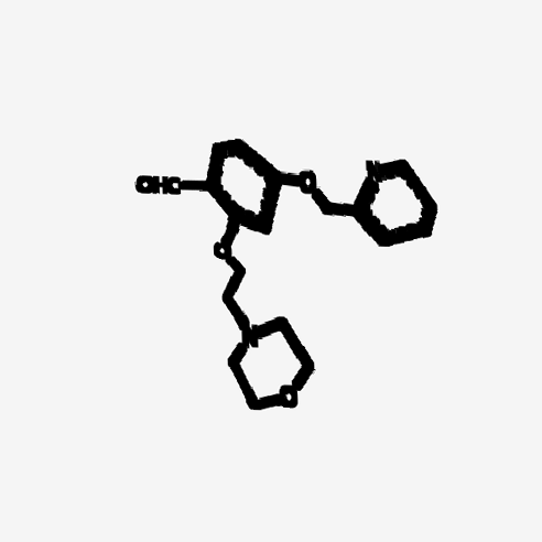 O=Cc1ccc(OCc2ccccn2)cc1OCCN1CCOCC1